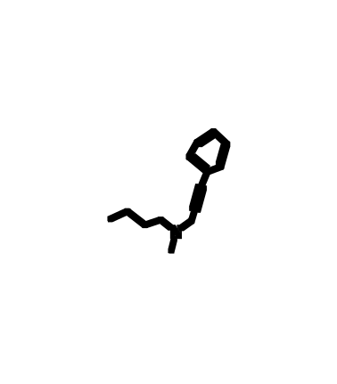 CCCCN(C)CC#Cc1ccccc1